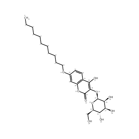 CCCCCCCCCCCOc1ccc2c(O)c(O[C@@H]3O[C@H](CO)[C@@H](O)[C@H](O)[C@@H]3O)c(=O)oc2c1